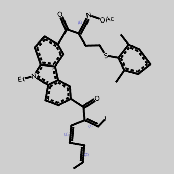 C\C=C/C=C\C(=C\I)C(=O)c1ccc2c(c1)c1cc(C(=O)/C(CCSc3c(C)cccc3C)=N/OC(C)=O)ccc1n2CC